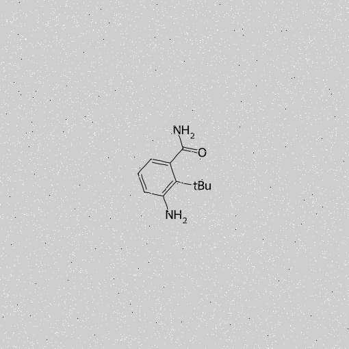 CC(C)(C)c1c(N)cccc1C(N)=O